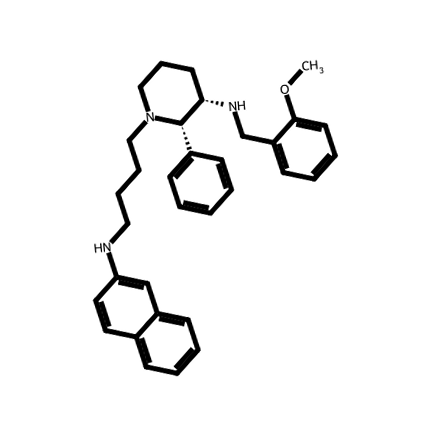 COc1ccccc1CN[C@H]1CCCN(CCCCNc2ccc3ccccc3c2)[C@H]1c1ccccc1